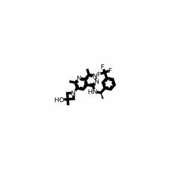 Cc1nc2c(C)nnc(N[C@H](C)c3cccc(C(F)(F)F)c3)c2cc1N1CC(C)(O)C1